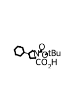 CC(C)(C)OC(=O)N1C[C@H](C2CCCCC2)CC1C(=O)O